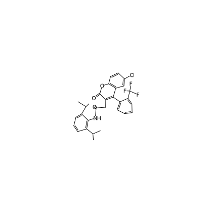 CC(C)c1cccc(C(C)C)c1NC(=O)Cc1c(-c2ccccc2C(F)(F)F)c2cc(Cl)ccc2oc1=O